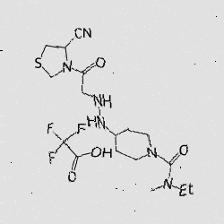 CCN(C)C(=O)N1CCC(NNCC(=O)N2CSCC2C#N)CC1.O=C(O)C(F)(F)F